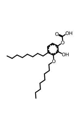 CCCCCCCCOc1c(CCCCCCCC)ccc(OC(=O)O)c1O